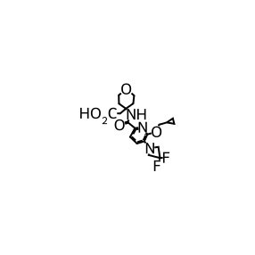 O=C(O)CC1(NC(=O)c2ccc(N3CC(F)(F)C3)c(OCC3CC3)n2)CCOCC1